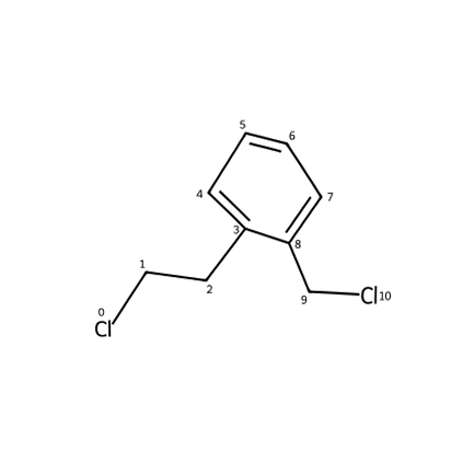 ClCCc1ccccc1CCl